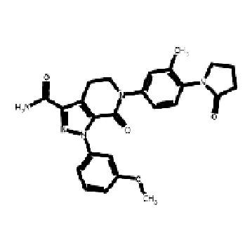 COc1cccc(-n2nc(C(N)=O)c3c2C(=O)N(c2ccc(N4CCCC4=O)c(C)c2)CC3)c1